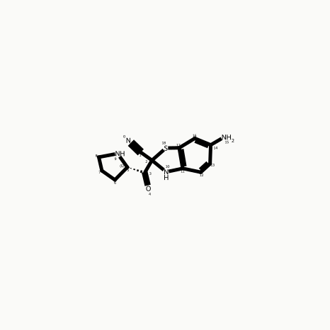 N#CC1(C(=O)[C@@H]2CCCN2)Nc2ccc(N)cc2S1